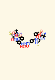 CSCC[C@H](NC(=O)[C@H](NS(=O)(=O)Cc1ccccc1)C(C)(C)C)C(=O)NCc1ccc(N=CN(C=Nc2ccc(CNC(=O)[C@H](CCSC)NC(=O)[C@H](NS(=O)(=O)Cc3ccccc3)C(C)(C)C)cc2)C(=O)O)cc1